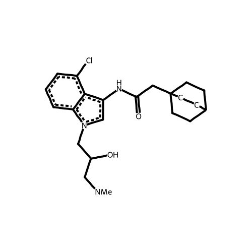 CNCC(O)Cn1cc(NC(=O)CC23CCC(CC2)CC3)c2c(Cl)cccc21